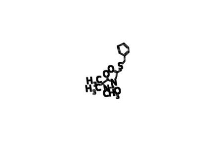 CN1C(=O)N(CC(=O)CSCc2ccccc2)C(=O)C1(C)C